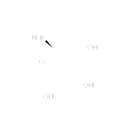 B[C@]1(C)OC(O)[C@@H](O)[C@H]1O